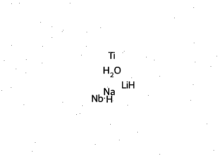 O.[LiH].[NaH].[Nb].[Ti]